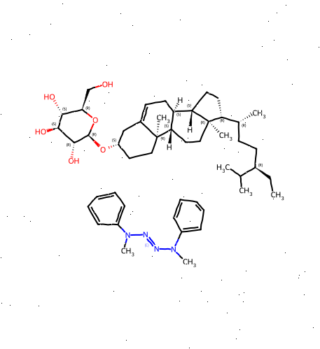 CC[C@H](CC[C@@H](C)[C@H]1CC[C@H]2[C@@H]3CC=C4C[C@@H](O[C@@H]5O[C@H](CO)[C@@H](O)[C@H](O)[C@H]5O)CC[C@]4(C)[C@H]3CC[C@]12C)C(C)C.CN(/N=N/N(C)c1ccccc1)c1ccccc1